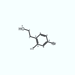 OCCc1ccc(Br)cc1I